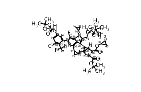 CC(C)(C)OC(=O)Nc1cc(Cl)c(C(F)(F)F)c(-c2nc(C3CC3)c3c([C@@H]4[C@H]5CN(C(=O)OC(C)(C)C)[C@H](C(=O)OC6CC6)[C@H]54)c(CO[Si](C)(C)C(C)(C)C)n(C4CC4)c3c2F)c1